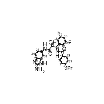 CC(C)c1ccc(C(=O)NC(c2cc(F)cc(F)c2)C(O)C(=O)Nc2ccc3nc(N)[nH]c3c2)cc1